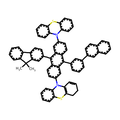 CC1(C)c2ccccc2-c2ccc(-c3c4ccc(N5C6=C(CCC=C6)Sc6ccccc65)cc4c(-c4cccc(-c5ccc6ccccc6c5)c4)c4ccc(N5c6ccccc6Sc6ccccc65)cc34)cc21